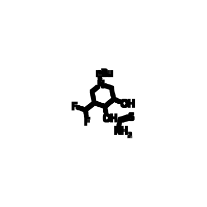 CCCCN1CC(O)C(O)C(C(F)F)C1.NC=S